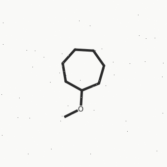 COC1CC[CH]CCC1